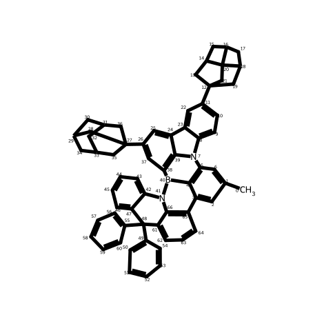 Cc1cc2c3c(c1)-n1c4ccc(C56CC7CC8CC(C5)C87C6)cc4c4cc(C56CC7CC(CC(C7)C5)C6)cc(c41)B3N1c3ccccc3C(c3ccccc3)(c3ccccc3)c3cccc-2c31